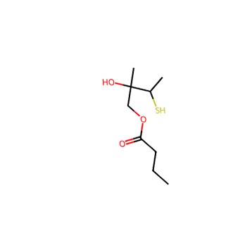 CCCC(=O)OCC(C)(O)C(C)S